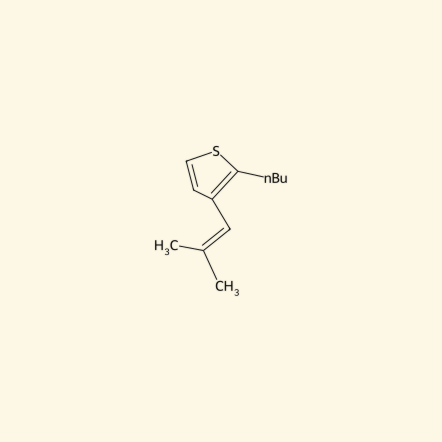 CCCCc1sccc1C=C(C)C